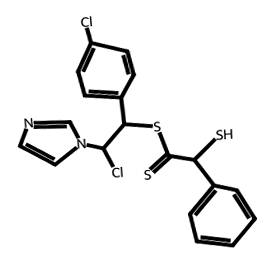 S=C(SC(c1ccc(Cl)cc1)C(Cl)n1ccnc1)C(S)c1ccccc1